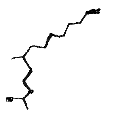 CCCCCCCCCCCCCCC(C)CCOC(C)O